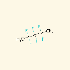 CC(F)(F)C(F)(F)C(C)(F)F